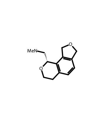 CNC[C@H]1OCCc2ccc3c(c21)COC3